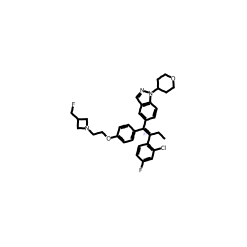 CC/C(=C(/c1ccc(OCCN2CC(CF)C2)cc1)c1ccc2c(cnn2C2CCOCC2)c1)c1ccc(F)cc1Cl